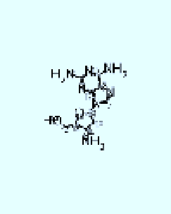 Nc1nc(N)c2ncn([C@H]3C[C@H](N)[C@@H](CO)O3)c2n1